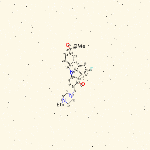 CCN1CCN(CC2CCc3c(c4cc(F)ccc4n3Cc3ccc(C(=O)OC)cc3)C2=O)CC1